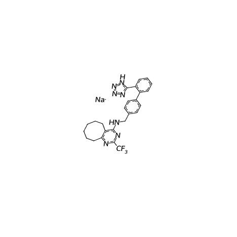 FC(F)(F)c1nc2c(c(NCc3ccc(-c4ccccc4-c4nnn[nH]4)cc3)n1)CCCCCC2.[Na]